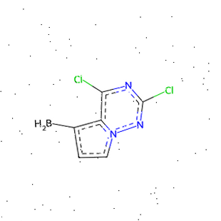 Bc1ccn2nc(Cl)nc(Cl)c12